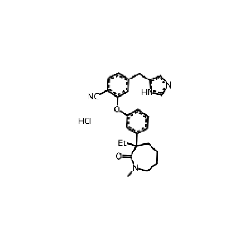 CCC1(c2cccc(Oc3cc(Cc4cnc[nH]4)ccc3C#N)c2)CCCCN(C)C1=O.Cl